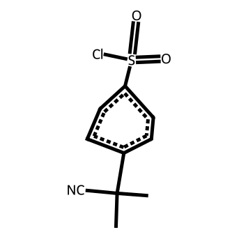 CC(C)(C#N)c1ccc(S(=O)(=O)Cl)cc1